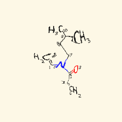 C=CC(=O)N(C=C)CCC(C)C